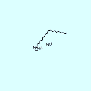 CCCCCCCC/C=C\CCCCCCCCC1=NCCN1.Cl